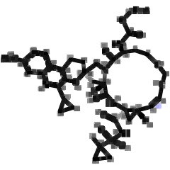 CCCCCOC(=O)N[C@H]1CCCCC/C=C\[C@@H]2C[C@@]2(C(=O)NS(=O)(=O)C2(C)CC2)NC(=O)[C@@H]2C[C@]3(CCc4c(c(C5CC5)nc5cc(OC)ccc45)O3)CN2C1=O